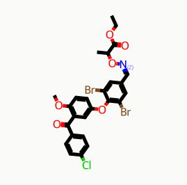 CCOC(=O)C(C)O/N=C\c1cc(Br)c(Oc2ccc(OC)c(C(=O)c3ccc(Cl)cc3)c2)c(Br)c1